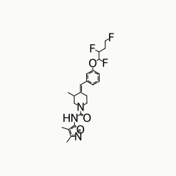 Cc1noc(NC(=O)N2CCC(=Cc3cccc(OC(F)C(F)CCF)c3)C(C)C2)c1C